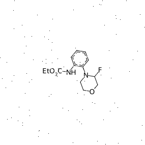 CCOC(=O)Nc1ccccc1N1CCOCC1F